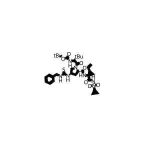 C=CC1CC1(NC(=O)[C@@H]1C[C@@H](NC(=S)NCc2ccccc2)CN1C(=O)[C@@H](NC(=O)OC(C)(C)C)C(C)(C)C)C(=O)NS(=O)(=O)C1CC1